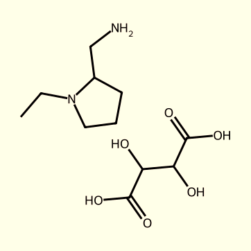 CCN1CCCC1CN.O=C(O)C(O)C(O)C(=O)O